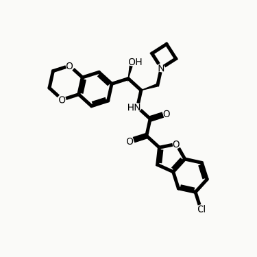 O=C(N[C@H](CN1CCC1)[C@H](O)c1ccc2c(c1)OCCO2)C(=O)c1cc2cc(Cl)ccc2o1